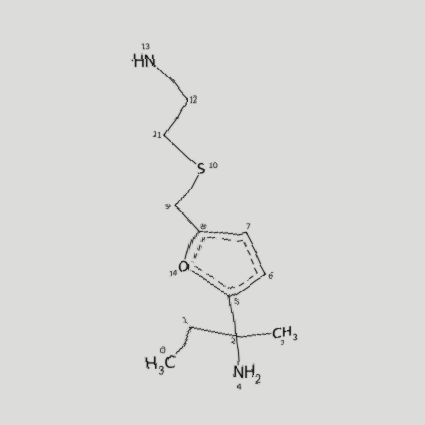 CCC(C)(N)c1ccc(CSCC[NH])o1